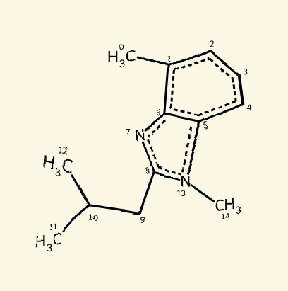 Cc1cccc2c1nc(CC(C)C)n2C